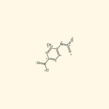 C.O=C(Cl)c1ccc(N=S(=O)=O)cc1